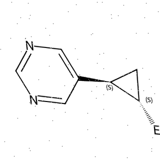 CC[C@H]1C[C@@H]1c1cncnc1